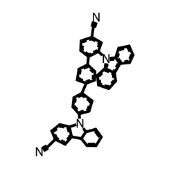 N#Cc1ccc2c(c1)C1C=CC=CC1N2c1ccc(-c2ccc(-c3ccc(C#N)cc3-n3c4ccccc4c4ccccc43)cc2)cc1